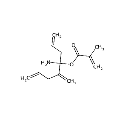 C=CCC(=C)C(N)(CC=C)OC(=O)C(=C)C